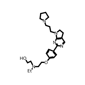 CCN(CCO)CCOc1ccc(-c2ncc3c(n2)N(CCCN2CCCC2)CC3)cc1